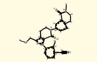 COCc1nn(-c2cccc(C#N)c2C)c2c1CCN(c1ccc3c(c1)C(=O)N(C)CC3)C2=O